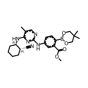 COC(=O)c1cc(Nc2ncc(C)c(N[C@@H]3CCCC[C@H]3C#N)n2)ccc1B1OCC(C)(C)CO1